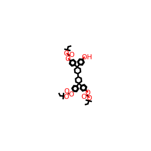 CCC(C)(C)OC(=O)Oc1ccc(C2(c3ccc(O)cc3)CCC(C3CCC(c4ccc(OC(=O)OC(C)(C)CC)cc4)(c4ccc(OC(=O)OC(C)(C)CC)cc4)CC3)CC2)cc1